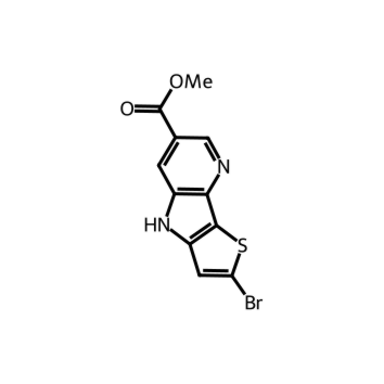 COC(=O)c1cnc2c(c1)[nH]c1cc(Br)sc12